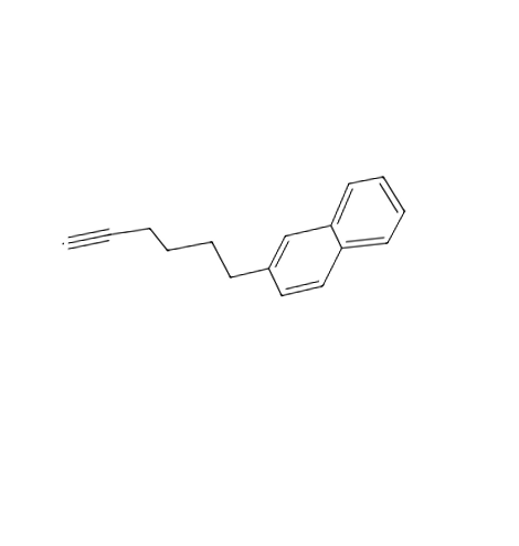 [C]#CCCCCc1ccc2ccccc2c1